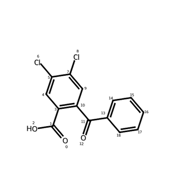 O=C(O)c1cc(Cl)c(Cl)cc1C(=O)c1ccccc1